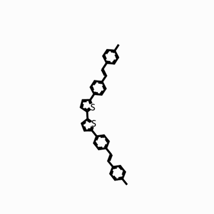 Cc1ccc(/C=C/c2ccc(-c3ccc(-c4ccc(-c5ccc(/C=C/c6ccc(C)cc6)cc5)s4)s3)cc2)cc1